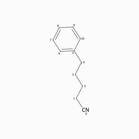 N#CCCC[CH]c1ccccc1